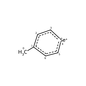 Cc1cc[se+]cc1